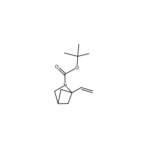 C=CC12CC(CN1C(=O)OC(C)(C)C)C2